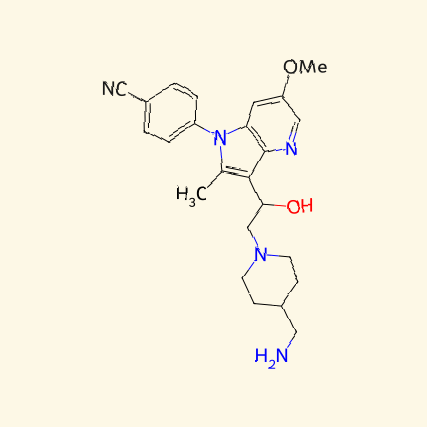 COc1cnc2c(C(O)CN3CCC(CN)CC3)c(C)n(-c3ccc(C#N)cc3)c2c1